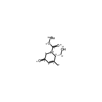 CC1=CC(=O)CN(C(=O)OC(C)(C)C)[C@@H]1CO